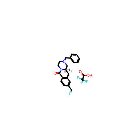 O=C(O)C(F)(F)F.O=C1c2ccc(CF)cc2C[C@@H]2CN(Cc3ccccc3)CCN12